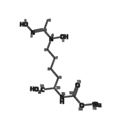 CC(=NO)N(O)CCCCC(NC(=O)OC(C)(C)C)C(=O)O